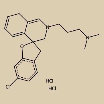 CN(C)CCCN1C=C2CC=CC=C2C2(Cc3ccc(Cl)cc3O2)C1.Cl.Cl